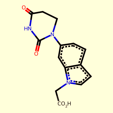 O=C(O)Cn1ccc2ccc(N3CCC(=O)NC3=O)cc21